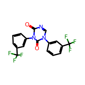 O=c1ncn(-c2cccc(C(F)(F)F)c2)c(=O)n1-c1cccc(C(F)(F)F)c1